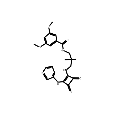 COc1cc(OC)cc(C(=O)NCC(C)(C)CNc2c(Nc3cccnc3)c(=O)c2=O)c1